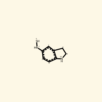 SNc1ccc2c(c1)CCN2